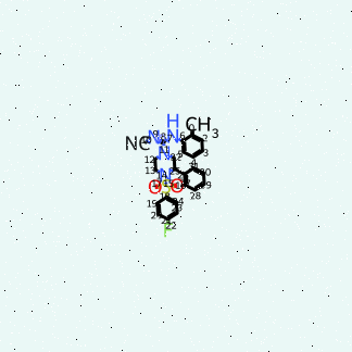 Cc1ccccc1N/C(=N/C#N)N1CCN(S(=O)(=O)c2ccc(F)cc2)C(c2ccccc2)C1